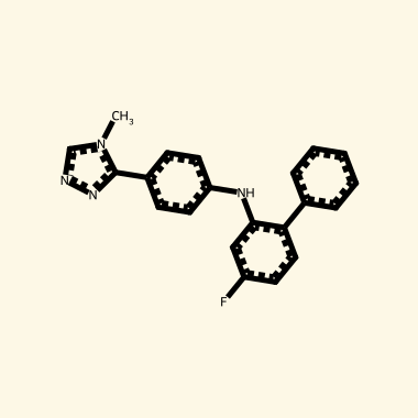 Cn1cnnc1-c1ccc(Nc2cc(F)ccc2-c2ccccc2)cc1